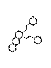 C(=C\c1ccc2cc3ccccc3cc2c1/C=C/c1cccnc1)/c1cccnc1